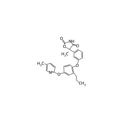 CCCc1cc(Oc2ccc(C)cn2)ccc1Oc1cccc([C@@]2(C)OC(=O)NC2=O)c1